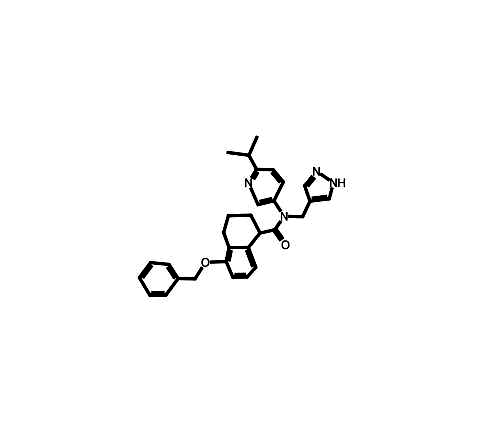 CC(C)c1ccc(N(Cc2cn[nH]c2)C(=O)C2CCCc3c(OCc4ccccc4)cccc32)cn1